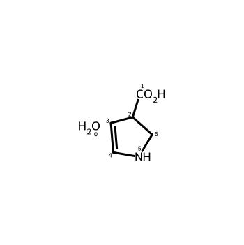 O.O=C(O)C1C=CNC1